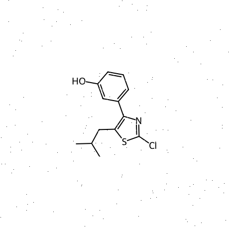 CC(C)Cc1sc(Cl)nc1-c1cccc(O)c1